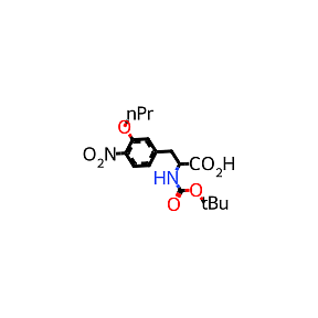 CCCOc1cc(CC(NC(=O)OC(C)(C)C)C(=O)O)ccc1[N+](=O)[O-]